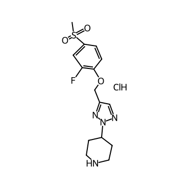 CS(=O)(=O)c1ccc(OCc2cnn(C3CCNCC3)n2)c(F)c1.Cl